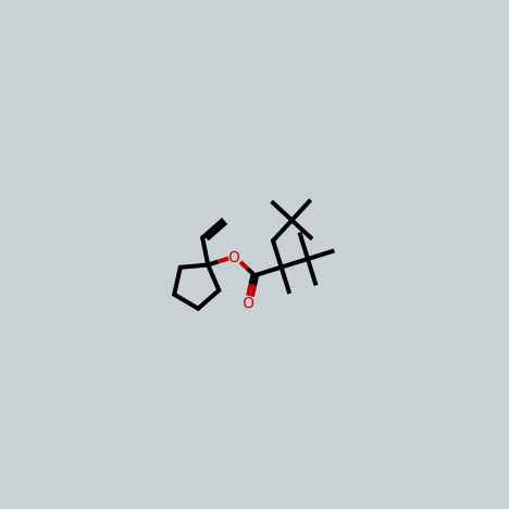 C=CC1(OC(=O)C(C)(CC(C)(C)C)C(C)(C)C)CCCC1